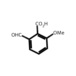 COc1cccc(C=O)c1C(=O)O